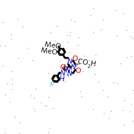 COc1ccc(CCN2C[C@H]3N(C(=O)CN(C)N3C(=O)NCc3ccc(F)cc3)[C@@H](CC(=O)O)C2=O)cc1OC